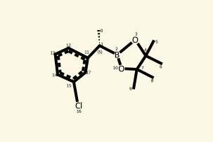 C[C@H](B1OC(C)(C)C(C)(C)O1)c1cccc(Cl)c1